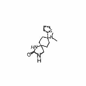 CN(C)[C@]1(c2cccs2)CC[C@@]2(CC1)CNC(=O)N2